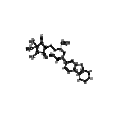 CN1C(=O)N(CC[C@@H](CC(=NO)c2ccc3c(c2)CC2=C3CCCC2)C(=O)O)C(=O)C1(C)C